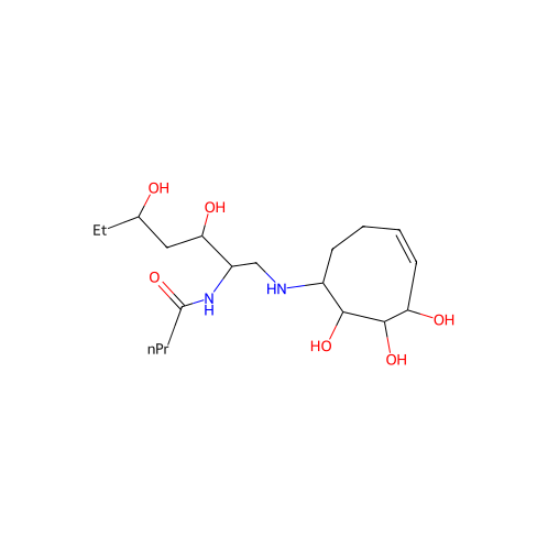 CCCC(=O)NC(CNC1CC/C=C\C(O)C(O)C1O)C(O)CC(O)CC